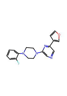 Fc1ccccc1N1CCN(c2cncc(-c3ccoc3)n2)CC1